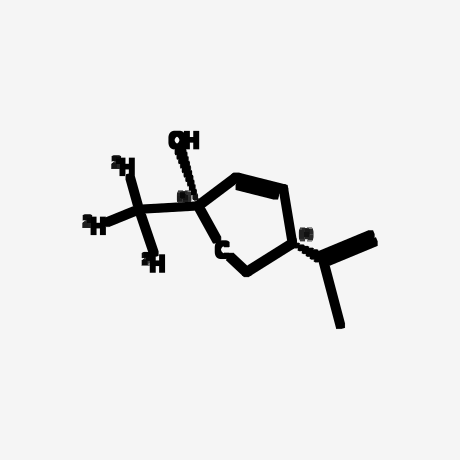 [2H]C([2H])([2H])[C@@]1(O)C=C[C@H](C(=C)C)CC1